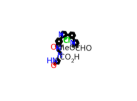 COc1nc(-c2cccc(-c3ccnc(-c4ccc5c(c4)CN(CCN(C[C@@H]4CCC(=O)N4)C(=O)O)C5=O)c3Cl)c2Cl)ccc1C=O